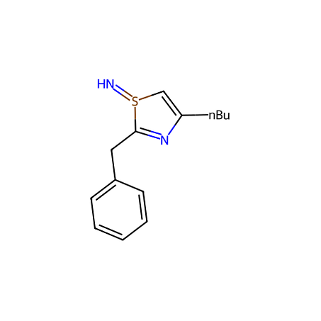 CCCCC1=CS(=N)C(Cc2ccccc2)=N1